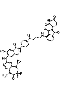 COc1cc(C(=O)NC2CCN(C(=O)CCCNc3cccc4c3C(=O)N(C3CCC(=O)NC3=O)C4=O)CC2)c(F)cc1Nc1ncc2c(n1)N(C1CC1)CC(F)(F)C(=O)N2C